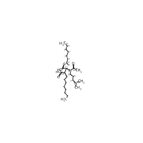 CCCCCCCCC(C(=O)O)[C@@](CCCCCCCC)(C(=O)O)N(CCCN(C)C)C(C)=O